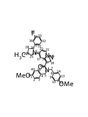 COc1ccc(CN(Cc2ccc(OC)cc2)C(=O)c2cnn3ccc(N4C[C@H](C)C[C@@H]4c4cccc(F)c4)cc23)cc1